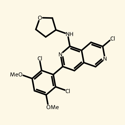 COc1cc(OC)c(Cl)c(-c2cc3cnc(Cl)cc3c(NC3CCOC3)n2)c1Cl